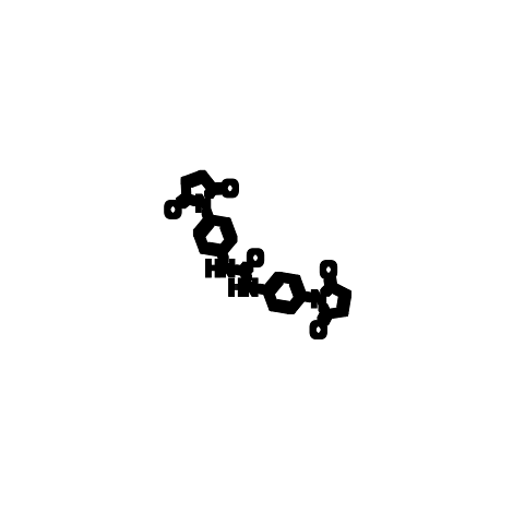 O=C(Nc1ccc(N2C(=O)C=CC2=O)cc1)Nc1ccc(N2C(=O)C=CC2=O)cc1